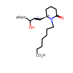 CCCCCC(O)/C=C/[C@H]1CCCC(=O)N1CCCCCCC(=O)O